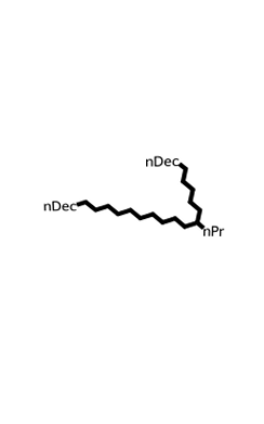 [CH2]CCC(CCCCCCCCCCCCCCC)CCCCCCCCCCCCCCCCCCCC